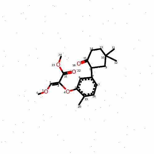 CO/C=C(\Oc1cc(C2CC(C)(C)CCC2=O)ccc1C)C(=O)OC